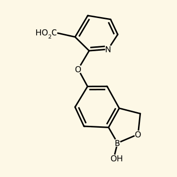 O=C(O)c1cccnc1Oc1ccc2c(c1)COB2O